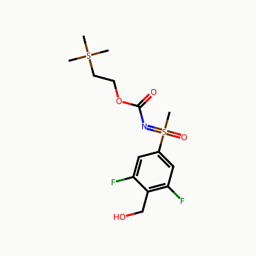 CS(C)(C)CCOC(=O)N=S(C)(=O)c1cc(F)c(CO)c(F)c1